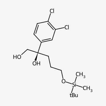 CC(C)(C)[Si](C)(C)OCCC[C@](O)(CO)c1ccc(Cl)c(Cl)c1